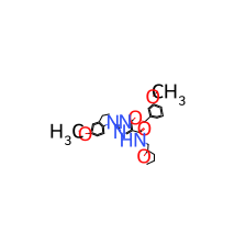 COc1cccc(COc2nc(N3CCc4cc(OC)ccc43)ncc2C(=O)NCC2CCCO2)c1